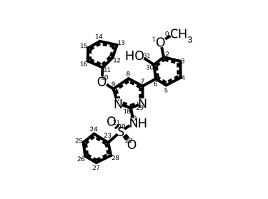 COc1cccc(-c2cc(Oc3ccccc3)nc(NS(=O)(=O)c3ccccc3)n2)c1O